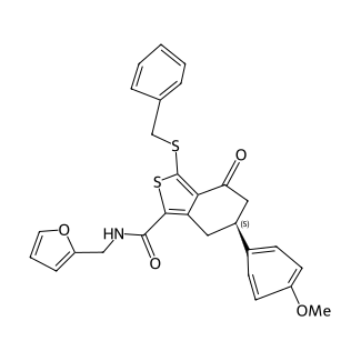 COc1ccc([C@@H]2CC(=O)c3c(SCc4ccccc4)sc(C(=O)NCc4ccco4)c3C2)cc1